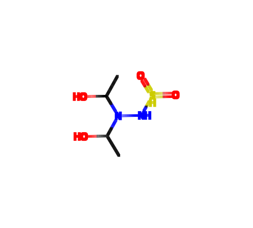 CC(O)N(N[SH](=O)=O)C(C)O